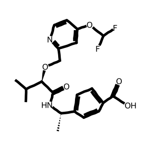 CC(C)[C@@H](OCc1cc(OC(F)F)ccn1)C(=O)N[C@@H](C)c1ccc(C(=O)O)cc1